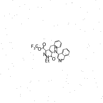 CCn1nc(C(=O)OC(F)(F)F)c(Cc2ccccc2)c(Nc2cncc3ccccc23)c1=O